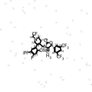 COc1cc(F)c(C(C)C)cc1C1=C(CN2C(=O)O[C@H](c3cc(C(F)(F)F)cc(C(F)(F)F)c3)[C@@H]2C)CCN(CC(F)(F)F)C1